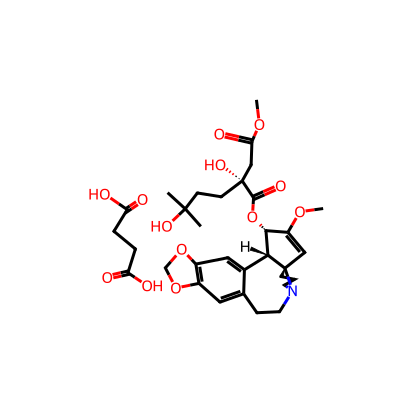 COC(=O)C[C@](O)(CCC(C)(C)O)C(=O)O[C@@H]1C(OC)=C[C@]23CCCN2CCc2cc4c(cc2[C@H]13)OCO4.O=C(O)CCC(=O)O